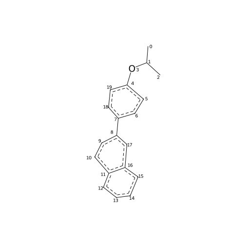 CC(C)Oc1ccc(-c2ccc3ccccc3c2)cc1